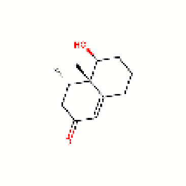 C[C@H]1CC(=O)C=C2CCC[C@H](O)[C@]21C